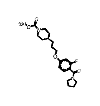 CC(C)(C)OC(=O)N1CCC(CCCOc2ccc(C(=O)N3CCCC3)c(F)c2)CC1